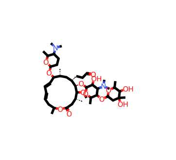 COC1[C@H](C)CC(=O)OC(C)C/C=C/C=C/C(OC2CCC(N(C)C)C(C)O2)[C@H](C)C[C@H](CCC=O)[C@@H]1OC1OC(C)C(OC2CC(C)(O)C(O)C(C)O2)C(N(C)C)C1O